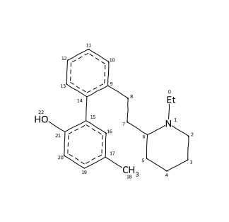 CCN1CCCCC1CCc1ccccc1-c1cc(C)ccc1O